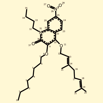 CCCCCCCCOc1c(OC/C=C(\C)CCC=C(C)C)c2ccc([N+](=O)[O-])cc2n(CCCC)c1=O